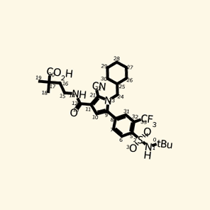 CC(C)(C)NS(=O)(=O)c1ccc(-c2cc(C(=O)NCCC(C)(C)C(=O)O)c(C#N)n2CC2CCCCC2)cc1C(F)(F)F